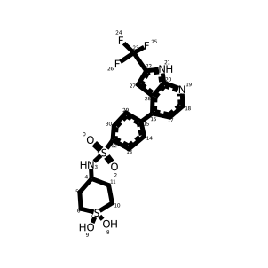 O=S(=O)(NC1CCS(O)(O)CC1)c1ccc(-c2ccnc3[nH]c(C(F)(F)F)cc23)cc1